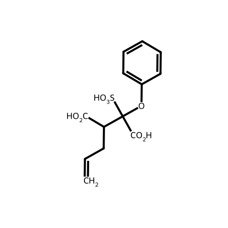 C=CCC(C(=O)O)C(Oc1ccccc1)(C(=O)O)S(=O)(=O)O